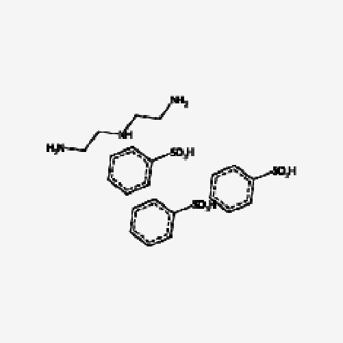 NCCNCCN.O=S(=O)(O)c1ccccc1.O=S(=O)(O)c1ccccc1.O=S(=O)(O)c1ccccc1